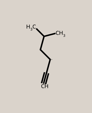 C#C[CH]CC(C)C